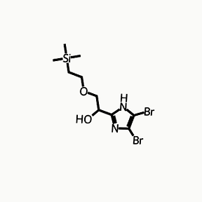 C[Si](C)(C)CCOCC(O)c1nc(Br)c(Br)[nH]1